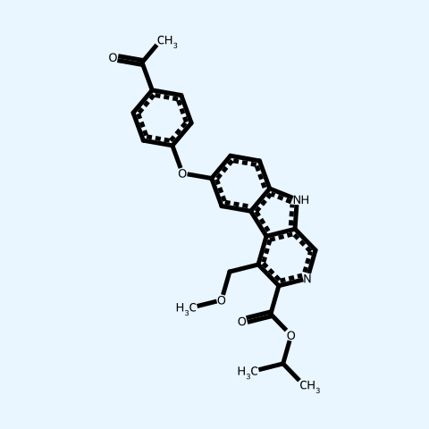 COCc1c(C(=O)OC(C)C)ncc2[nH]c3ccc(Oc4ccc(C(C)=O)cc4)cc3c12